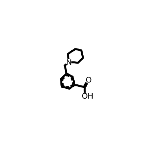 O=C(O)c1cccc(CN2CCCCC2)c1